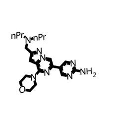 CCCN(CCC)Cc1cc2c(N3CCOCC3)nc(-c3cnc(N)nc3)cn2n1